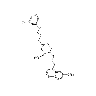 COc1ccc2nccc(CCC[C@@H]3CCN(CCCSc4cccc(Cl)c4)C[C@@H]3CO)c2c1